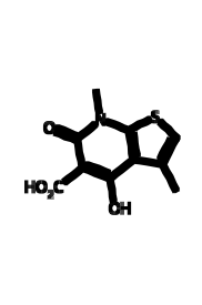 Cc1csc2c1c(O)c(C(=O)O)c(=O)n2C